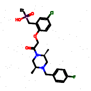 CCP(=O)(O)Cc1cc(Cl)ccc1OCC(=O)N1C[C@H](C)N(Cc2ccc(F)cc2)C[C@H]1C